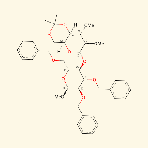 CO[C@H]1O[C@H](COCc2ccccc2)[C@@H](O[C@@H]2O[C@H]3COC(C)(C)O[C@H]3[C@H](OC)[C@H]2OC)[C@H](OCc2ccccc2)[C@H]1OCc1ccccc1